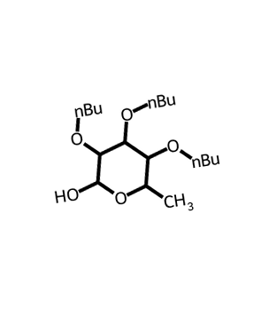 CCCCOC1C(C)OC(O)C(OCCCC)C1OCCCC